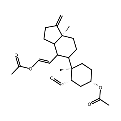 C=C1CCC2C(/C=C/OC(C)=O)C([C@@]3(C)CC[C@H](OC(C)=O)C[C@@H]3C=O)CC[C@]12C